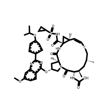 COc1ccc2c(O[C@@H]3C[C@H]4C(=O)N[C@]5(C(=O)NS(=O)(=O)C6CC6)C[C@H]5/C=C\CC[C@H](C)C[C@@H](C)[C@H](NC(=O)O)C(=O)N4C3)nc(-c3ccc(OC(C)C)cc3)nc2c1